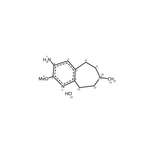 COc1nc2c(cc1N)CCN(C)CC2.Cl